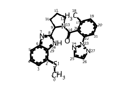 CSc1cccc2nc(C3CCCN3C(=O)c3c(C)cccc3-n3nccn3)[nH]c12